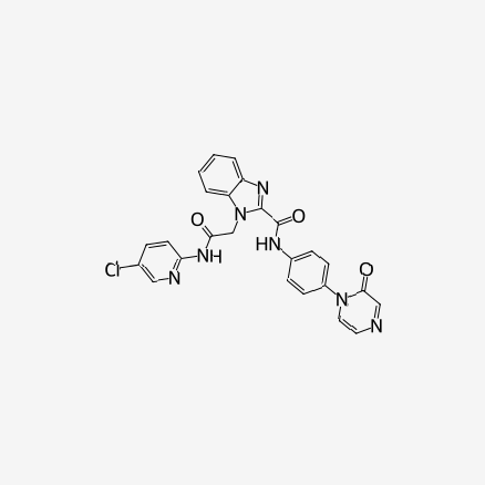 O=C(Cn1c(C(=O)Nc2ccc(-n3ccncc3=O)cc2)nc2ccccc21)Nc1ccc(Cl)cn1